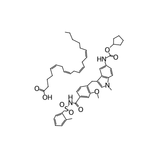 CCCCC/C=C\C/C=C\C/C=C\C/C=C\CCCC(=O)O.COc1cc(C(=O)NS(=O)(=O)c2ccccc2C)ccc1Cc1cn(C)c2ccc(NC(=O)OC3CCCC3)cc12